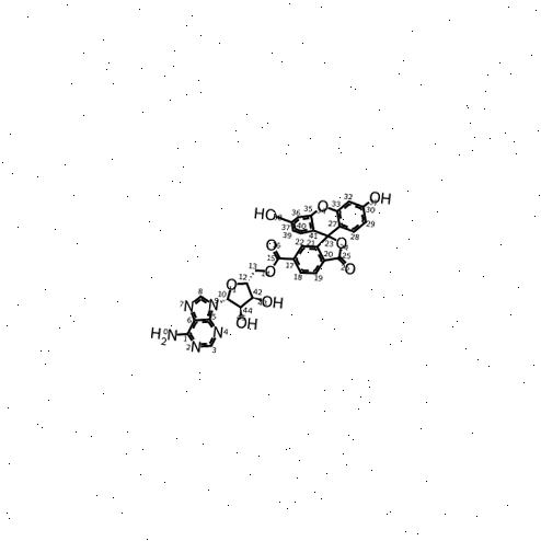 Nc1ncnc2c1ncn2[C@@H]1O[C@H](COC(=O)c2ccc3c(c2)C2(OC3=O)c3ccc(O)cc3Oc3cc(O)ccc32)[C@@H](O)[C@H]1O